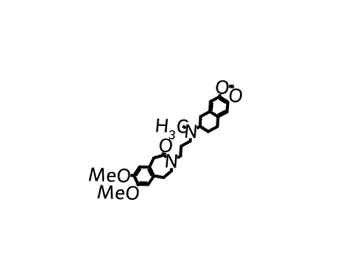 COc1cc2c(cc1OC)CC(=O)N(CCCN(C)C1CCc3cc4c(cc3C1)OCO4)CC2